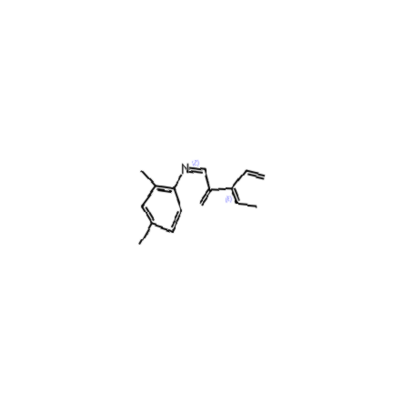 C=C/C(=C\C)C(=C)/C=N\c1ccc(C)cc1C